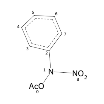 CC(=O)ON(c1ccccc1)[N+](=O)[O-]